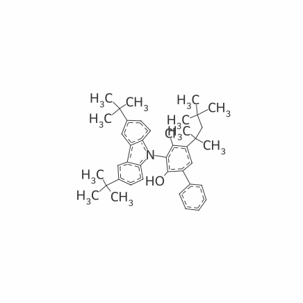 CC(C)(C)CC(C)(C)c1cc(-c2ccccc2)c(O)c(-n2c3ccc(C(C)(C)C)cc3c3cc(C(C)(C)C)ccc32)c1Cl